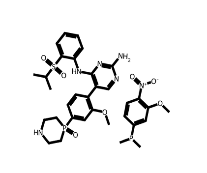 COc1cc(P(C)C)ccc1[N+](=O)[O-].COc1cc(P2(=O)CCNCC2)ccc1-c1cnc(N)nc1Nc1ccccc1S(=O)(=O)C(C)C